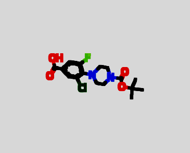 CC(C)(C)OC(=O)N1CCN(c2c(F)cc(C(=O)O)cc2Cl)CC1